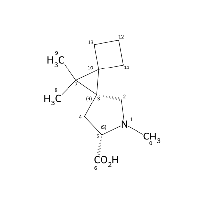 CN1C[C@]2(C[C@H]1C(=O)O)C(C)(C)C21CCC1